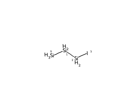 [SiH3][SiH2][SiH2]I